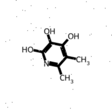 Cc1nc(O)c(O)c(O)c1C